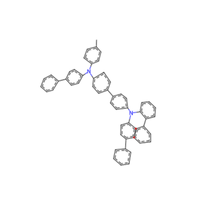 Cc1ccc(N(c2ccc(-c3ccccc3)cc2)c2ccc(-c3ccc(N(c4ccc(-c5ccccc5)cc4)c4ccccc4-c4ccccc4)cc3)cc2)cc1